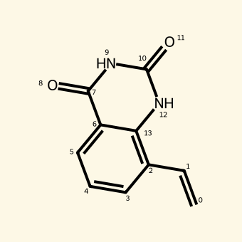 C=Cc1cccc2c(=O)[nH]c(=O)[nH]c12